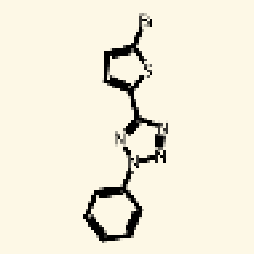 Brc1ccc(-c2nnn(-c3ccccc3)n2)s1